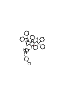 Clc1ccc(Cn2cc(Cc3cc(NC(c4ccccc4)(c4ccccc4)c4ccccc4)nc4c3nnn4C(c3ccccc3)(c3ccccc3)c3ccccc3)cn2)cc1